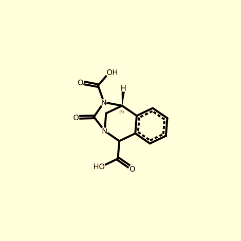 O=C(O)C1c2ccccc2[C@@H]2CN1C(=O)N2C(=O)O